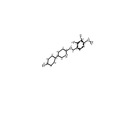 CCOc1ccc(COC2CCC(C3CCC(CC)CC3)CO2)c(F)c1F